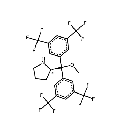 COC(c1cc(C(F)(F)F)cc(C(F)(F)F)c1)(c1cc(C(F)(F)F)cc(C(F)(F)F)c1)[C@H]1CCCN1